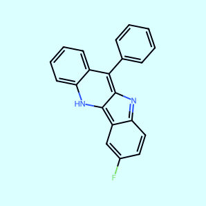 Fc1ccc2nc3c(-c4ccccc4)c4ccccc4[nH]c-3c2c1